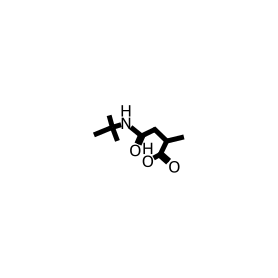 CC(CC(=O)NC(C)(C)C)C(=O)O